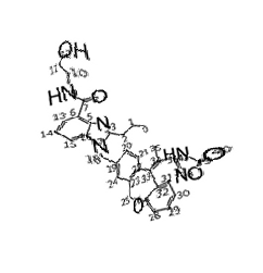 CCCc1nc2c(C(=O)NCCO)cccc2n1Cc1ccc2c(c1)COc1ccccc1C2=C(C)c1noc(=O)[nH]1